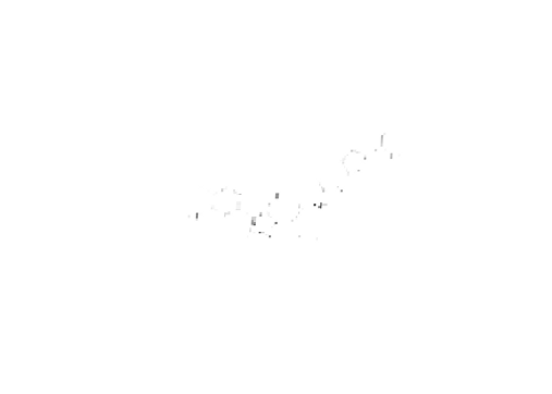 CC(=NNC(=S)Nc1ccc(C(=O)O)s1)c1nn(C)c(-c2ccc(Cl)c(Cl)c2)c1O